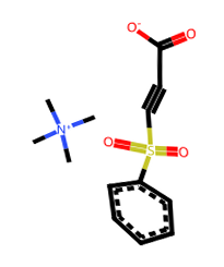 C[N+](C)(C)C.O=C([O-])C#CS(=O)(=O)c1ccccc1